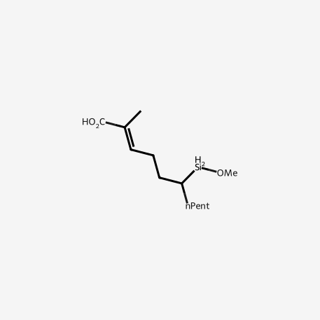 CCCCCC(CC/C=C(\C)C(=O)O)[SiH2]OC